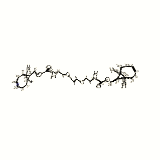 O=C(NCCOCCOCCNC(=O)OCC1[C@H]2CC/C=C\CC[C@@H]12)OCC1[C@H]2CCC#CCC[C@@H]12